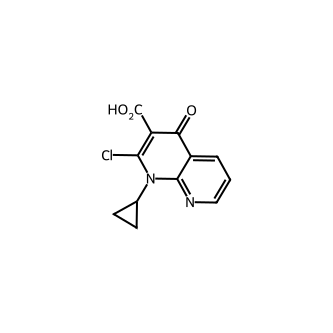 O=C(O)c1c(Cl)n(C2CC2)c2ncccc2c1=O